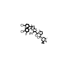 CC(C)C1=C(C(=O)N2[C@H](C)CC[C@H]2C(=O)N2C[C@H](C)N(C)C3(CC3)C2)SC2=N[C@@](C)(c3ccc(Cl)nc3)[C@@H](c3ccc(Cl)c(F)c3)N21